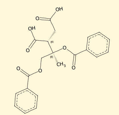 C[C@@](COC(=O)c1ccccc1)(OC(=O)c1ccccc1)[C@@H](CC(=O)O)C(=O)O